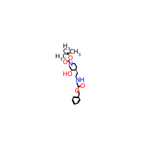 CC(C)(C)OC(=O)N1CC[C@@H](CCNCC(=O)OCc2ccccc2)[C@H](O)C1